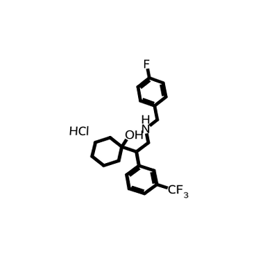 Cl.OC1(C(CNCc2ccc(F)cc2)c2cccc(C(F)(F)F)c2)CCCCC1